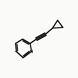 C(#CC1CC1)c1cc[c]cn1